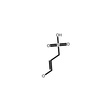 [O]C=CCS(=O)(=O)O